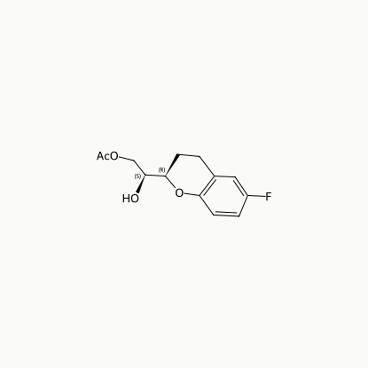 CC(=O)OC[C@H](O)[C@H]1CCc2cc(F)ccc2O1